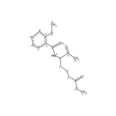 COC(=O)CCCC(NC(=O)c1ccccc1OC)C(C)=O